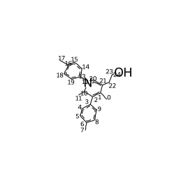 CC1=C(c2ccc(C)cc2)C(C)N(c2ccc(C)cc2)[C]=C1CCO